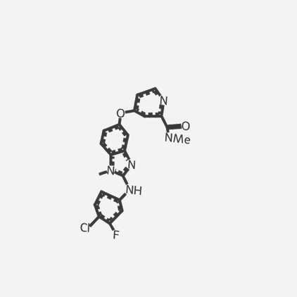 CNC(=O)c1cc(Oc2ccc3c(c2)nc(Nc2ccc(Cl)c(F)c2)n3C)ccn1